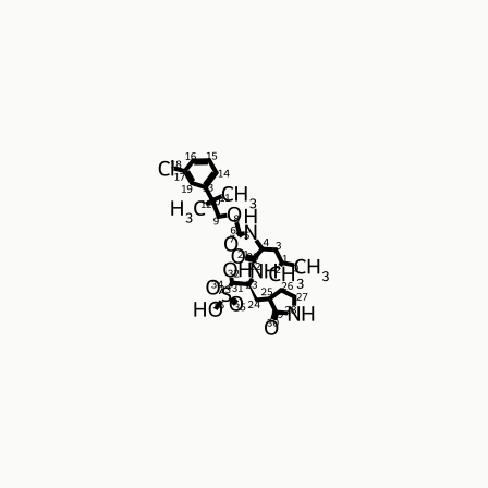 CC(C)CC(NC(=O)OCC(C)(C)c1cccc(Cl)c1)C(=O)N[C@@H](CC1CCNC1=O)C(O)S(=O)(=O)O